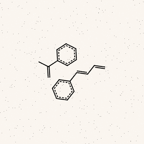 C=C(C)c1ccccc1.C=CC=Cc1ccccc1